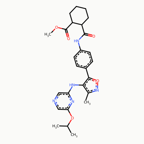 COC(=O)C1CCCCC1C(=O)Nc1ccc(-c2onc(C)c2Nc2cncc(OC(C)C)n2)cc1